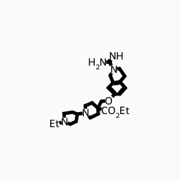 CCOC(=O)C1(COc2ccc3c(c2)CN(C(=N)N)CC3)CCN(C2CCN(CC)CC2)CC1